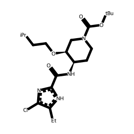 CCc1[nH]c(C(=O)N[C@@H]2CCN(C(=O)OC(C)(C)C)C[C@@H]2OCCC(C)C)nc1Cl